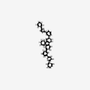 C1=C(c2cccc(-c3ccc(-c4ccccc4)s3)c2)CCC2=C1C1(CCCCC1)c1cc(-c3cccc(-c4ccc(-c5ccccc5)s4)c3)ccc12